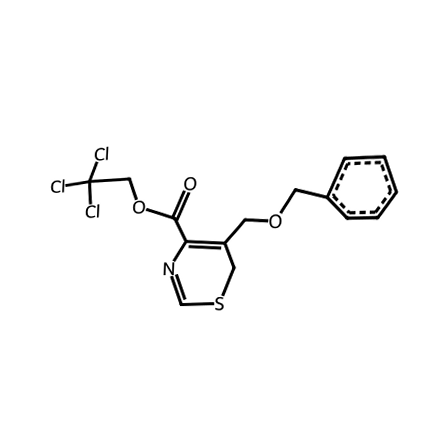 O=C(OCC(Cl)(Cl)Cl)C1=C(COCc2ccccc2)CSC=N1